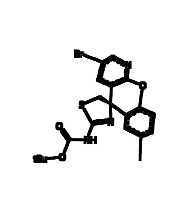 CC(C)(C)OC(=O)NC1=N[C@@]2(CS1)c1cc(I)ccc1Oc1ncc(Br)cc12